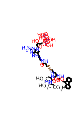 Nc1nc(N)c2c(C#CCNC(=O)CCSSCCCC(NC(=O)OCC3c4ccccc4-c4ccccc43)C(=O)NC(CC(=O)O)C(=O)NC(CC(=O)O)C(=O)O)cn(C3CC(O)C(COP(=O)(O)OP(=O)(O)OP(=O)(O)O)O3)c2n1